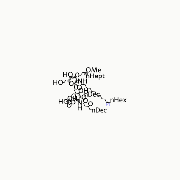 CCCCCC/C=C\CCCCCCCCCC(=O)N[C@H]1[C@H](OCC2O[C@H](OP(=O)(O)O)[C@H](NC(=O)CC(=O)CCCCCCCCCCC)[C@@H](OCCCCCCCCCC)[C@@H]2O)O[C@H](CCO)[C@@H](O)[C@@H]1OCC[C@@H](CCCCCCC)OC